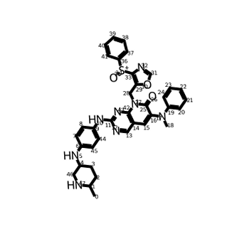 CC1CCC(Nc2ccc(Nc3ncc4cc(N(C)c5ccccc5)c(=O)n(Cc5ocnc5[S+]([O-])c5ccccc5)c4n3)cc2)CN1